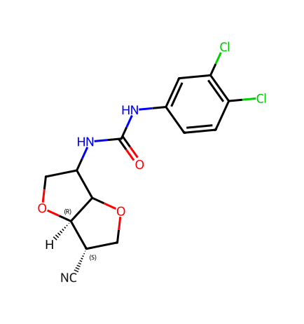 N#C[C@H]1COC2C(NC(=O)Nc3ccc(Cl)c(Cl)c3)CO[C@@H]21